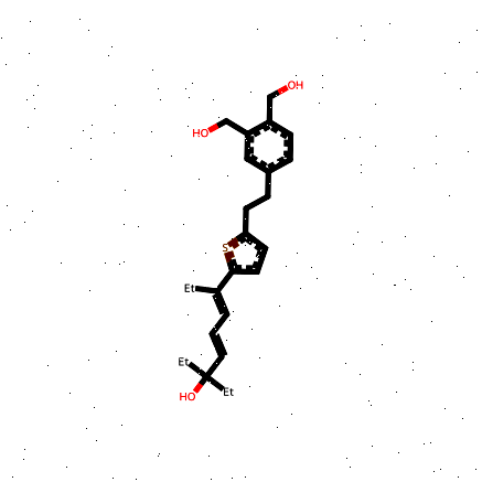 CCC(=CC=CC(O)(CC)CC)c1ccc(CCc2ccc(CO)c(CO)c2)s1